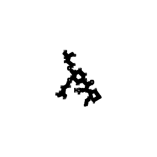 CCN1CCCC1C(N)C(=O)c1ccc(OCC=C(C)C)c(OCC=C(C)C)c1